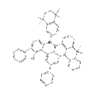 CC1(C)CCC(C)(C)c2cc(N3B4c5cccc6c5N(c5ccccc5C6(C)C)c5cc(-c6ccccc6)cc(c54)-c4c3ccc3c4oc4ccccc43)ccc21